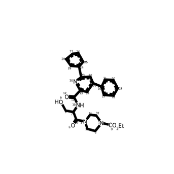 CCOC(=O)N1CCN(C(=O)C(CO)NC(=O)c2cc(-c3ccccc3)cc(-c3ccccc3)n2)CC1